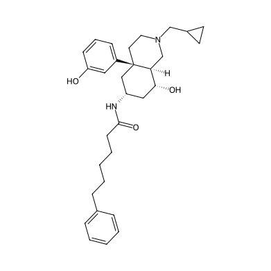 O=C(CCCCCc1ccccc1)N[C@H]1C[C@@H](O)[C@@H]2CN(CC3CC3)CC[C@@]2(c2cccc(O)c2)C1